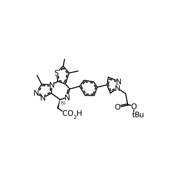 Cc1sc2c(c1C)C(c1ccc(-c3cnn(CC(=O)OC(C)(C)C)c3)cc1)=N[C@@H](CC(=O)O)c1nnc(C)n1-2